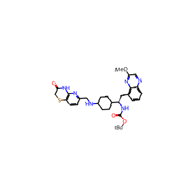 COc1cnc2cccc(C[C@@H](NC(=O)OC(C)(C)C)C3CCC(NCc4ccc5c(n4)NC(=O)CS5)CC3)c2n1